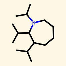 CC(C)C1CCCCN(C(C)C)C1C(C)C